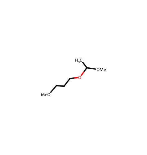 COCCCOC(C)OC